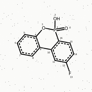 O=P1(O)Oc2ccccc2-c2cc(F)ccc21